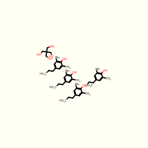 Cc1cc(CCC(=O)O)cc(C(C)(C)C)c1O.Cc1cc(CCC(=O)O)cc(C(C)(C)C)c1O.Cc1cc(CCC(=O)O)cc(C(C)(C)C)c1O.Cc1cc(CCC(=O)O)cc(C(C)(C)C)c1O.OCC(CO)(CO)CO